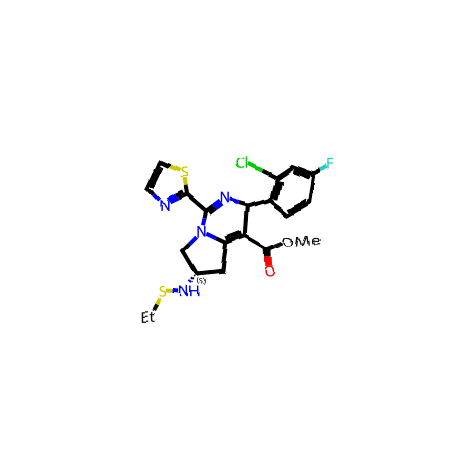 CCSN[C@H]1CC2=C(C(=O)OC)C(c3ccc(F)cc3Cl)N=C(c3nccs3)N2C1